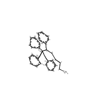 CCCCCC(c1ccccc1)C(c1ccccc1)(c1ccccc1)c1ccccc1